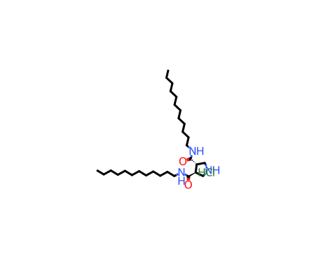 CCCCCCCCCCCCNC(=O)[C@@H]1CNC[C@H]1C(=O)NCCCCCCCCCCCC.Cl